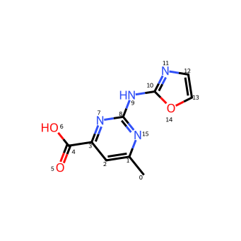 Cc1cc(C(=O)O)nc(Nc2ncco2)n1